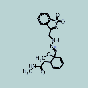 CNC(=O)CC1C=CC=CC1(/C=N/NCC1=NS(=O)(=O)c2ccccc21)OC